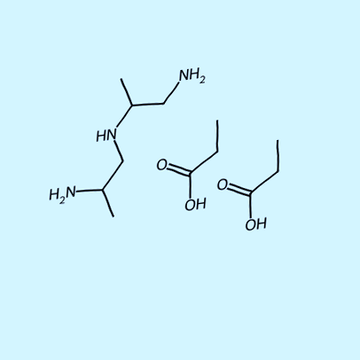 CC(N)CNC(C)CN.CCC(=O)O.CCC(=O)O